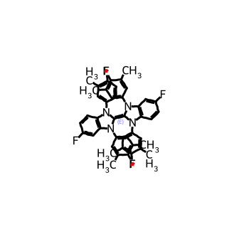 Cc1cc(N2/C(=C3/N(c4cc(C)c(F)c(C)c4)c4ccc(F)cc4N3c3cc(C)c(F)c(C)c3)N(c3cc(C)c(F)c(C)c3)c3cc(F)ccc32)ccc1F